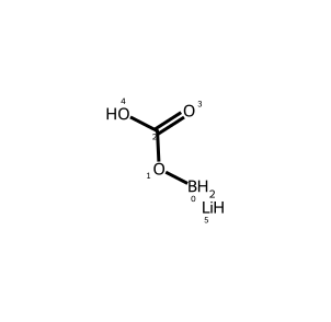 BOC(=O)O.[LiH]